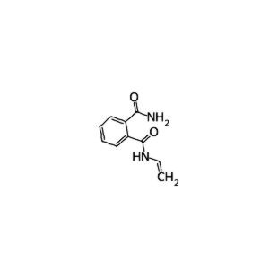 C=CNC(=O)c1ccccc1C(N)=O